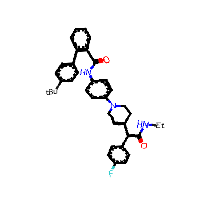 CCNC(=O)C(c1ccc(F)cc1)C1CCN(c2ccc(NC(=O)c3ccccc3-c3ccc(C(C)(C)C)cc3)cc2)CC1